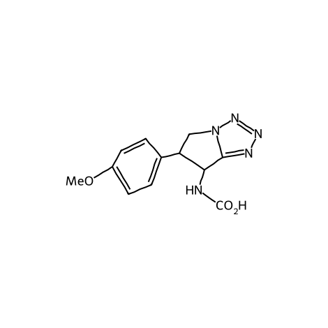 COc1ccc(C2Cn3nnnc3C2NC(=O)O)cc1